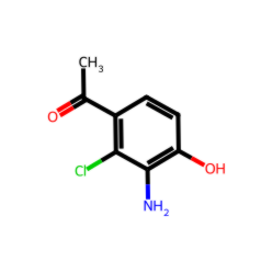 CC(=O)c1ccc(O)c(N)c1Cl